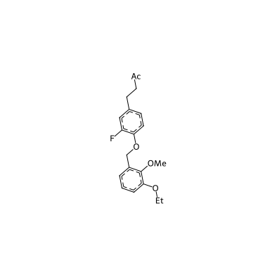 CCOc1cccc(COc2ccc(CCC(C)=O)cc2F)c1OC